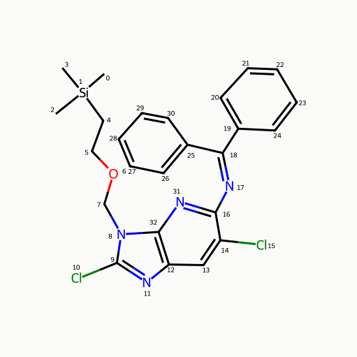 C[Si](C)(C)CCOCn1c(Cl)nc2cc(Cl)c(N=C(c3ccccc3)c3ccccc3)nc21